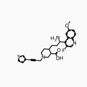 COc1ccc2ncc(F)c([C@H](N)CCC3CCN(CC#Cc4ccsc4)CC3C(=O)O)c2c1